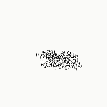 CC(C)(C)c1cc(C(C)(C)C)c2op(OC3COC4C(Op5oc6c(C(C)(C)C)cc(C(C)(C)C)cc6c6cc(C(C)(C)C)cc(C(C)(C)C)c6o5)COC34)oc3c(C(C)(C)C)cc(C(C)(C)C)cc3c2c1